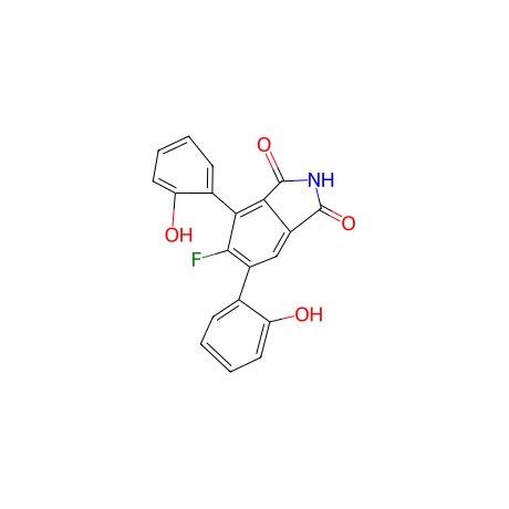 O=C1NC(=O)c2c1cc(-c1ccccc1O)c(F)c2-c1ccccc1O